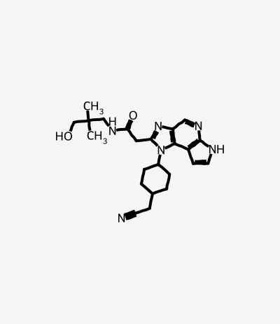 CC(C)(CO)CNC(=O)Cc1nc2cnc3[nH]ccc3c2n1C1CCC(CC#N)CC1